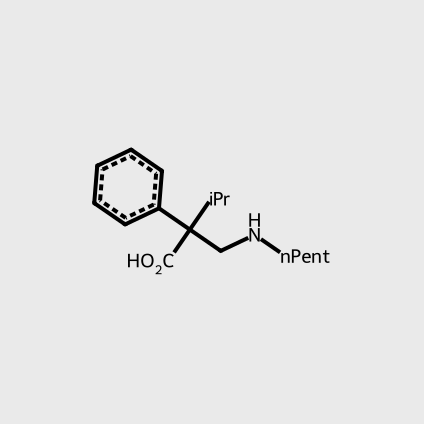 CCCCCNCC(C(=O)O)(c1ccccc1)C(C)C